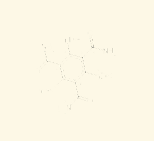 CCCCCCCCCCc1c(C(N)=O)c(CCCCCCCCCC)c(C(N)=O)c(CCCCCCCCCC)c1C(N)=O